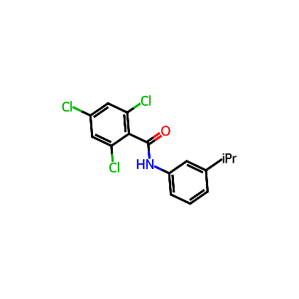 CC(C)c1cccc(NC(=O)c2c(Cl)cc(Cl)cc2Cl)c1